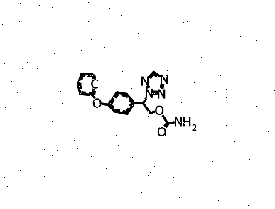 NC(=O)OCC(c1ccc(Oc2ccccc2)cc1)n1ncnn1